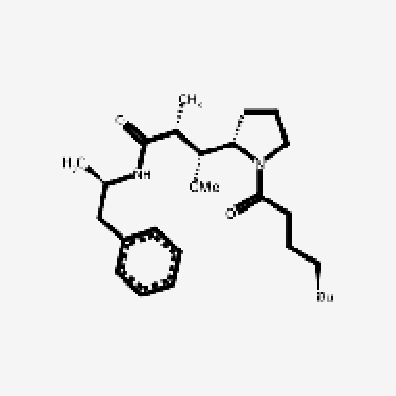 CC[C@H](C)CCCC(=O)N1CCC[C@H]1[C@H](OC)[C@@H](C)C(=O)N[C@H](C)Cc1ccccc1